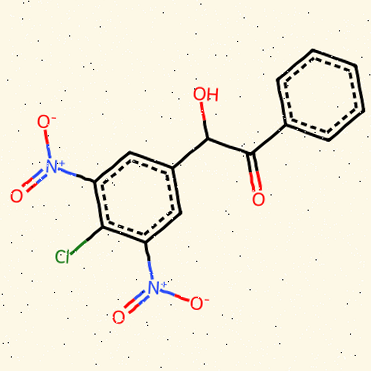 O=C(c1ccccc1)C(O)c1cc([N+](=O)[O-])c(Cl)c([N+](=O)[O-])c1